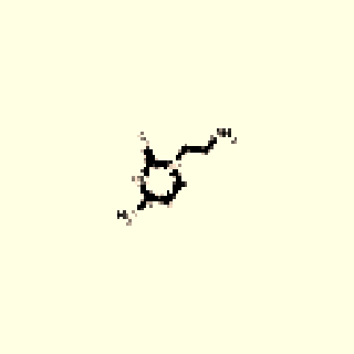 BCCn1ccc(N)nc1=O